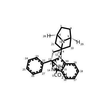 O=C(O)N[C@@H](CCN1[C@@H]2CC[C@H]1C[C@@H](n1cnc3ccccc31)C2)c1ccccc1